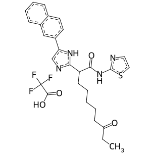 CCC(=O)CCCCCC(C(=O)Nc1nccs1)c1ncc(-c2ccc3ccccc3c2)[nH]1.O=C(O)C(F)(F)F